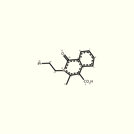 Cc1c(C(=O)O)c2ccccc2c(=O)n1CCC(C)C